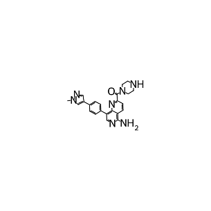 Cn1cc(-c2ccc(-c3cnc(N)c4ccc(C(=O)N5CCNCC5)nc34)cc2)cn1